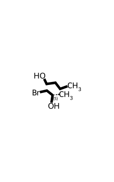 CCCCO.C[C@H](O)CBr